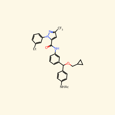 CCc1cccc(-n2nc(C(F)(F)F)cc2C(=O)Nc2cccc(C(OCC3CC3)c3ccc(NC(C)=O)cc3)c2)c1